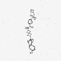 O=C(NC1CC2(C1)CC(c1nc3cc(Cl)ccc3o1)C2)c1ccc(S(=O)(=O)CC2COC2)o1